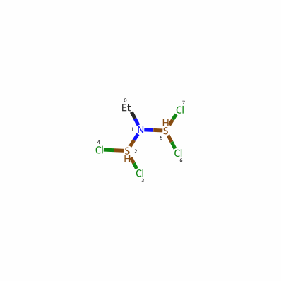 CCN([SH](Cl)Cl)[SH](Cl)Cl